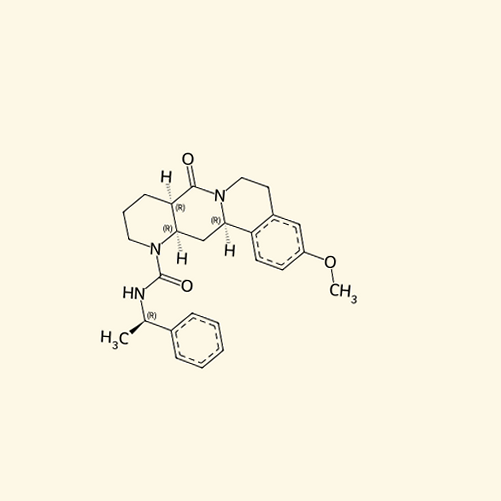 COc1ccc2c(c1)CCN1C(=O)[C@@H]3CCCN(C(=O)N[C@H](C)c4ccccc4)[C@@H]3C[C@H]21